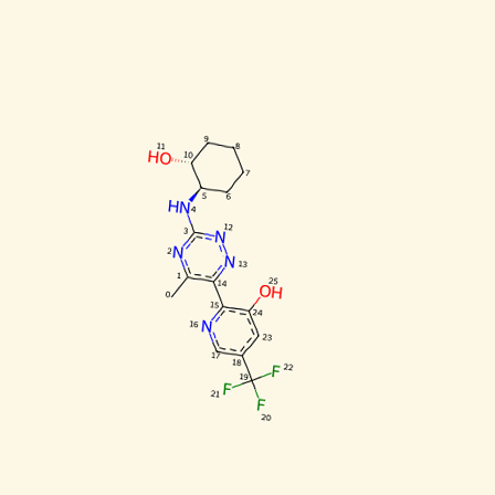 Cc1nc(N[C@@H]2CCCC[C@H]2O)nnc1-c1ncc(C(F)(F)F)cc1O